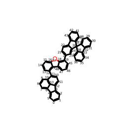 c1ccc2c(c1)-c1cccc3c(-c4cccc5oc6c(-c7ccc8c(c7)C7(c9ccccc9-c9ccccc97)c7ccccc7-8)cccc6c45)ccc-2c13